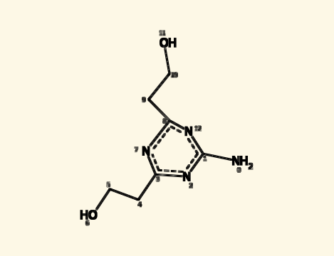 Nc1nc(CCO)nc(CCO)n1